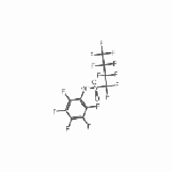 O=S(=O)([N+]c1c(F)c(F)c(F)c(F)c1F)C(F)(F)C(F)(F)C(F)(F)C(F)(F)F